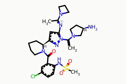 C=C(N1CC[C@@H](N)C1)n1nc([C@@H]2CCCCN2C(=O)c2cc(Cl)ccc2NS(C)(=O)=O)cc1/N=C(\C)N1CCC1